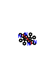 C[Si]1(CC[Si]2(C)C(c3ccc4cccnc4c3)=C(c3ccccc3)C(c3ccccc3)=C2c2ccc3cccnc3c2)C(c2ccc3cccnc3c2)=C(c2ccccc2)C(c2ccccc2)=C1c1ccc2cccnc2c1